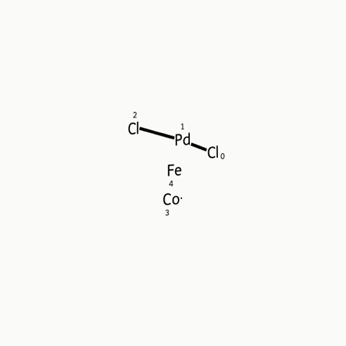 [Cl][Pd][Cl].[Co].[Fe]